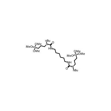 CCCCN(CCC[Si](OC)(OC)OC)C(=O)NCCCCCCNC(=O)N(CCCC)CCC[Si](OC)(OC)OC